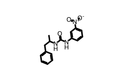 CC(Cc1ccccc1)NC(=O)Nc1cccc([N+](=O)[O-])c1